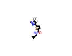 Cn1nc(-c2ccc(C(=O)NCC3CC3)s2)cc1C(F)(F)F